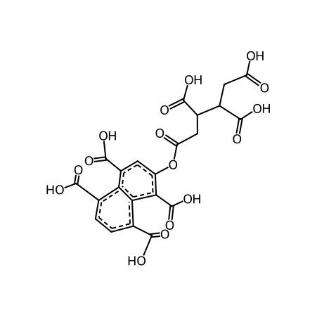 O=C(O)CC(C(=O)O)C(CC(=O)Oc1cc(C(=O)O)c2c(C(=O)O)ccc(C(=O)O)c2c1C(=O)O)C(=O)O